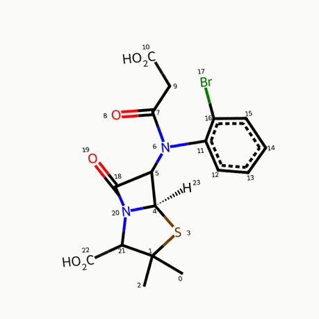 CC1(C)S[C@@H]2C(N(C(=O)CC(=O)O)c3ccccc3Br)C(=O)N2C1C(=O)O